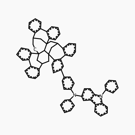 c1ccc(N(c2ccc(-c3ccc4c(c3)-c3ccccc3C3CC56CC(CCC78CC(CC4(C3)C75)c3ccccc3-c3ccccc38)c3ccccc3-c3ccccc36)cc2)c2ccc3c(c2)c2ccccc2n3-c2ccccc2)cc1